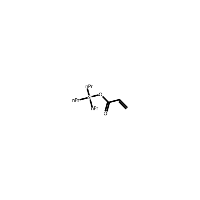 C=CC(=O)O[Si](CCC)(CCC)CCC